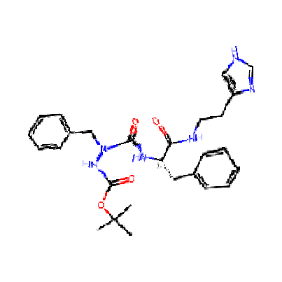 CC(C)(C)OC(=O)NN(Cc1ccccc1)C(=O)N[C@@H](Cc1ccccc1)C(=O)NCCc1c[nH]cn1